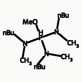 CCCCN(C)[PH](OC)(N(C)CCCC)N(C)CCCC